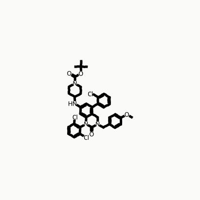 COc1ccc(CN2Cc3c(-c4ccccc4Cl)cc(NC4CCN(C(=O)OC(C)(C)C)CC4)cc3N(c3c(Cl)cccc3Cl)C2=O)cc1